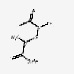 COC(=O)N(C)SN(C)C(=O)F